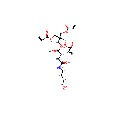 C=CC(=O)OCC(COC(=O)C=C)(COC(=O)C=C)COC(=O)CCC(=O)NCCCCO